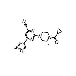 C[C@@H]1CN(c2nc(C#N)cc(-c3cnn(C)c3)n2)CCN1C(=O)C1CC1